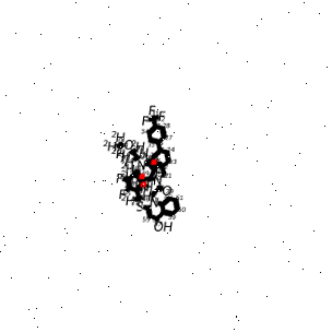 [2H]C([2H])([2H])OC([2H])([2H])C([2H])([2H])N1C([2H])([2H])C([2H])([2H])C([2H])(N(Cc2ccc(-c3ccc(C(F)(F)F)cc3)cc2)C(=O)CN2C(SC([2H])([2H])c3cccc(F)c3F)=CC(O)c3ccccc32)C([2H])([2H])C1([2H])[2H]